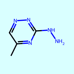 Cc1cnnc(NN)n1